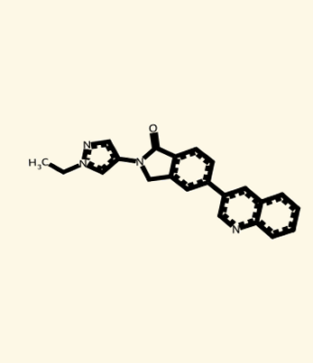 CCn1cc(N2Cc3cc(-c4cnc5ccccc5c4)ccc3C2=O)cn1